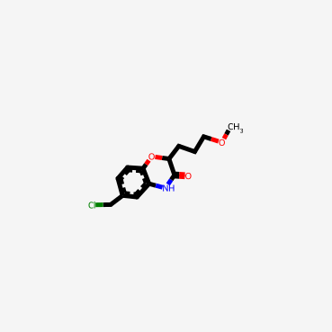 COCCCC1Oc2ccc(CCl)cc2NC1=O